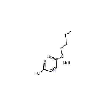 CCCCOC(=O)/C=C\C(=O)O.[NaH]